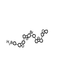 Bc1ccc(-c2ccc3oc4ccc(-c5cccc6c5oc5cc(-c7cc(-c8cccc9c8oc8c(-c%10ccc%11oc%12ccccc%12c%11c%10)cccc89)ccc7Br)ccc56)cc4c3c2)cc1